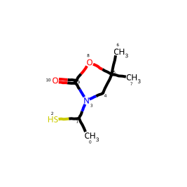 CC(S)N1CC(C)(C)OC1=O